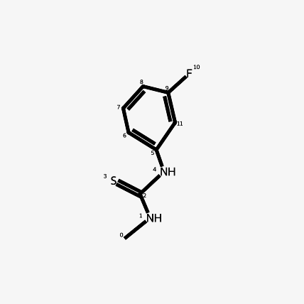 CNC(=S)Nc1cccc(F)c1